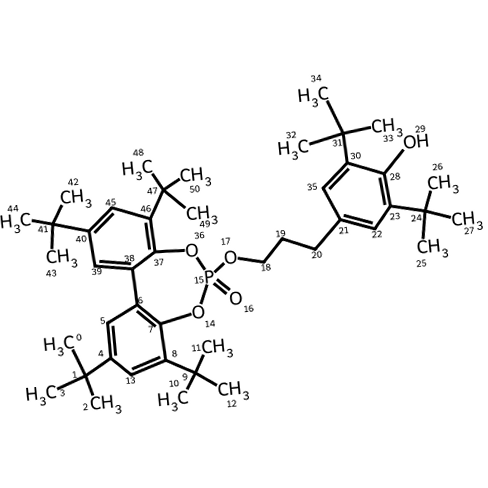 CC(C)(C)c1cc2c(c(C(C)(C)C)c1)OP(=O)(OCCCc1cc(C(C)(C)C)c(O)c(C(C)(C)C)c1)Oc1c-2cc(C(C)(C)C)cc1C(C)(C)C